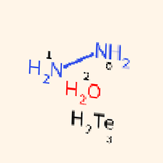 NN.O.[TeH2]